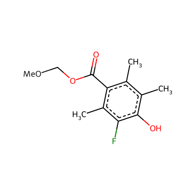 COCOC(=O)c1c(C)c(C)c(O)c(F)c1C